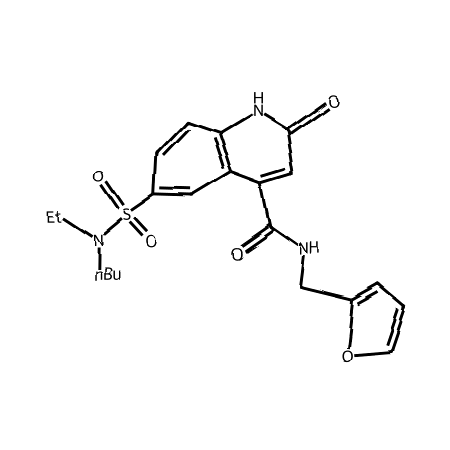 CCCCN(CC)S(=O)(=O)c1ccc2[nH]c(=O)cc(C(=O)NCc3ccco3)c2c1